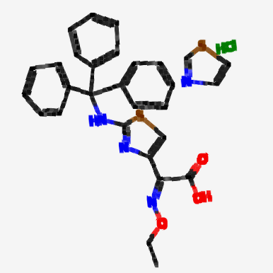 CCON=C(C(=O)O)c1csc(NC(c2ccccc2)(c2ccccc2)c2ccccc2)n1.Cl.c1cscn1